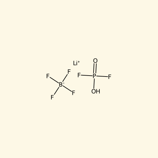 F[B-](F)(F)F.O=P(O)(F)F.[Li+]